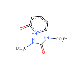 CCOC(=O)NC(=O)NC(=O)OCC.O=c1cccc[nH]1